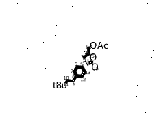 CC(=O)OCC1CN(c2ccc(CCC(C)(C)C)cc2)C(=O)O1